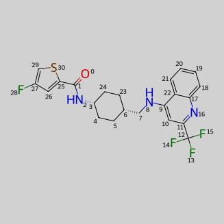 O=C(N[C@H]1CC[C@@H](CNc2cc(C(F)(F)F)nc3ccccc23)CC1)c1cc(F)cs1